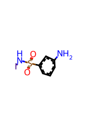 Nc1cccc(S(=O)(=O)NI)c1